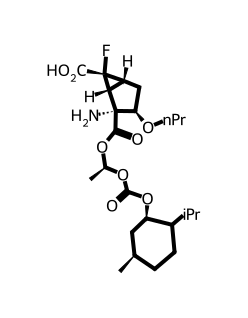 CCCO[C@@H]1C[C@@H]2[C@H]([C@]1(N)C(=O)O[C@H](C)OC(=O)O[C@@H]1C[C@H](C)CCC1C(C)C)[C@@]2(F)C(=O)O